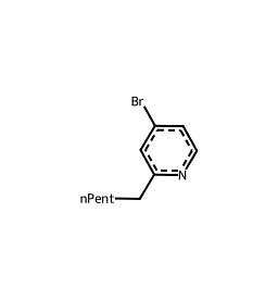 CCCCCCc1cc(Br)ccn1